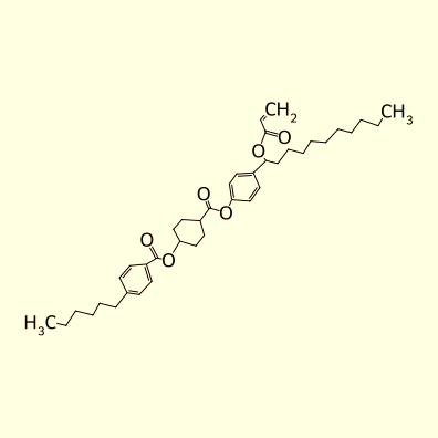 C=CC(=O)OC(CCCCCCCCCC)c1ccc(OC(=O)C2CCC(OC(=O)c3ccc(CCCCCC)cc3)CC2)cc1